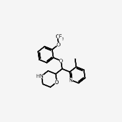 Cc1cccnc1C(Oc1ccccc1OC(F)(F)F)C1CNCCO1